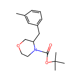 Cc1cccc(CC2COCCN2C(=O)OC(C)(C)C)c1